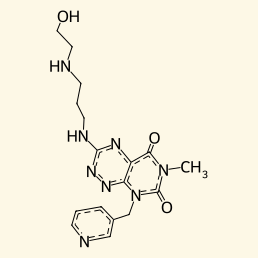 Cn1c(=O)c2nc(NCCCNCCO)nnc2n(Cc2cccnc2)c1=O